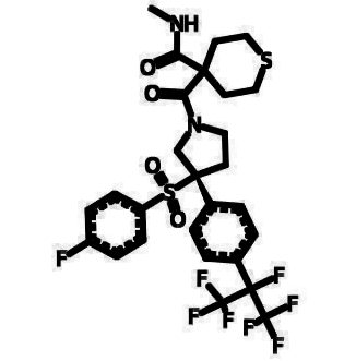 CNC(=O)C1(C(=O)N2CC[C@](c3ccc(C(F)(C(F)(F)F)C(F)(F)F)cc3)(S(=O)(=O)c3ccc(F)cc3)C2)CCSCC1